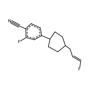 N#Cc1ccc(C2CCC(CC=CF)CC2)cc1F